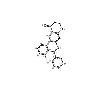 O=C1CCOc2cc(O[C@@H](c3ccncc3)c3ccccc3F)ccc21